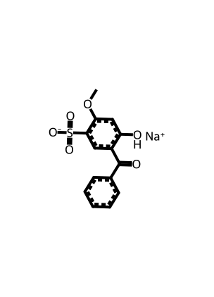 COc1cc(O)c(C(=O)c2ccccc2)cc1S(=O)(=O)[O-].[Na+]